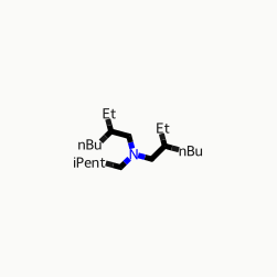 CCCCC(CC)CN(CC(C)CCC)CC(CC)CCCC